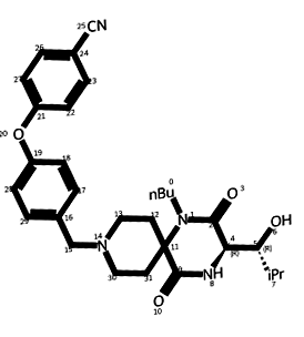 CCCCN1C(=O)[C@@H]([C@H](O)C(C)C)NC(=O)C12CCN(Cc1ccc(Oc3ccc(C#N)cc3)cc1)CC2